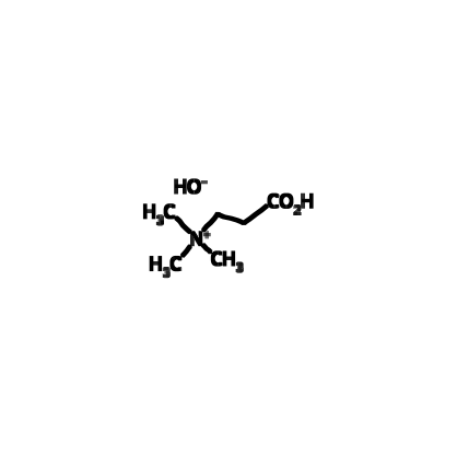 C[N+](C)(C)CCC(=O)O.[OH-]